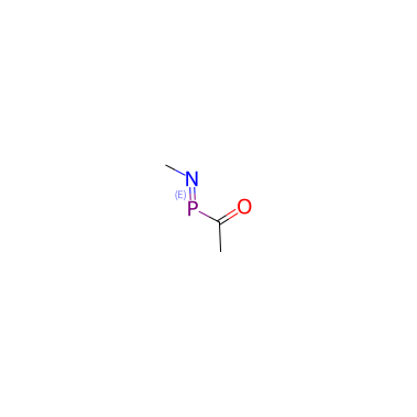 C/N=P/C(C)=O